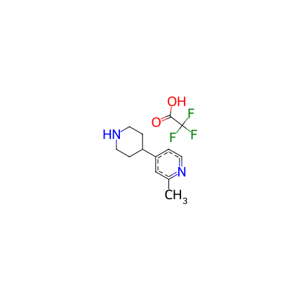 Cc1cc(C2CCNCC2)ccn1.O=C(O)C(F)(F)F